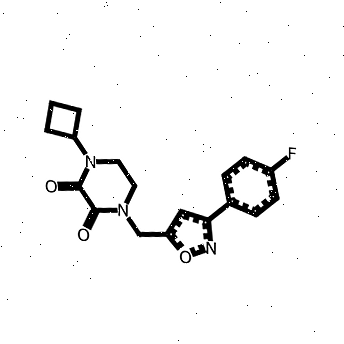 O=C1C(=O)N(C2CCC2)CCN1Cc1cc(-c2ccc(F)cc2)no1